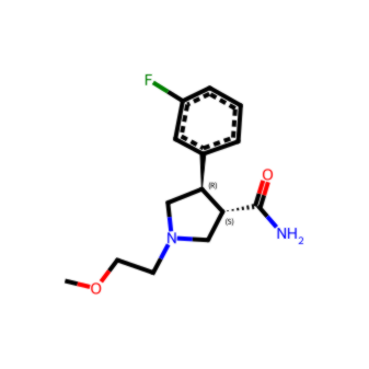 COCCN1C[C@@H](C(N)=O)[C@H](c2cccc(F)c2)C1